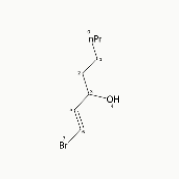 CCCCCC(O)C=CBr